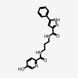 O=C(NCCCNC(=O)c1cc(-c2ccccc2)[nH]n1)c1ccc(O)cn1